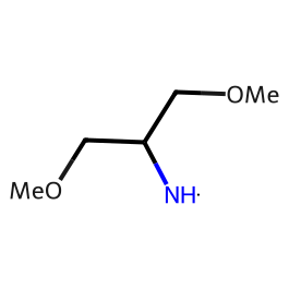 COCC([NH])COC